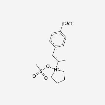 CCCCCCCCc1ccc(CC(C)[N+]2(OS(C)(=O)=O)CCCC2)cc1